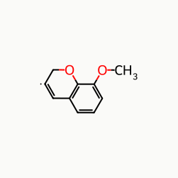 COc1cccc2c1OC[C]=C2